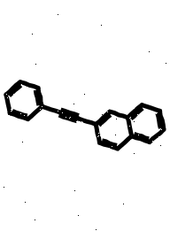 C(#Cc1ccc2ccccc2c1)c1ccccc1